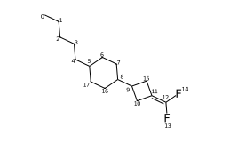 CCCCCC1CCC(C2CC(=C(F)F)C2)CC1